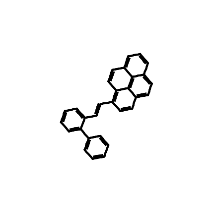 C(=C\c1ccc2ccc3cccc4ccc1c2c34)/c1ccccc1-c1ccccc1